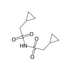 O=S(=O)(CC1CC1)NS(=O)(=O)CC1CC1